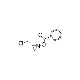 O=C(ON1C[C@@H]1CCl)c1ccccc1